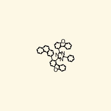 c1ccc(-c2nc(-c3cccc4oc5ccccc5c34)nc(-c3c(-c4ccc5ccc6ccccc6c5c4)ccc4oc5ccccc5c34)n2)cc1